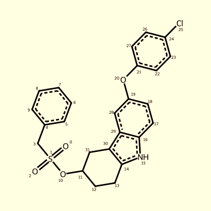 O=S(=O)(Cc1ccccc1)OC1CCc2[nH]c3ccc(Oc4ccc(Cl)cc4)cc3c2C1